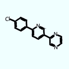 Clc1ccc(-c2ccc(-c3cnccn3)[c]n2)cc1